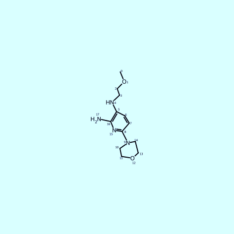 COCCNc1ccc(N2CCOCC2)nc1N